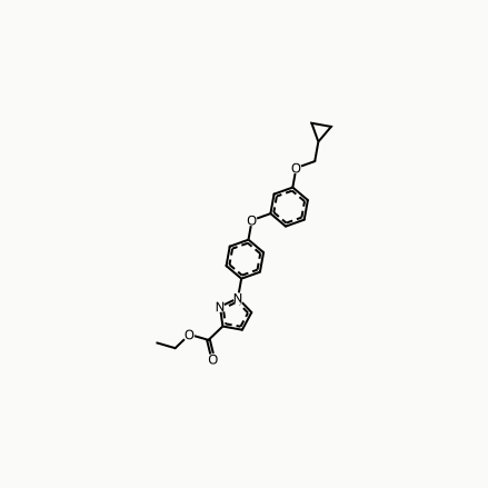 CCOC(=O)c1ccn(-c2ccc(Oc3cccc(OCC4CC4)c3)cc2)n1